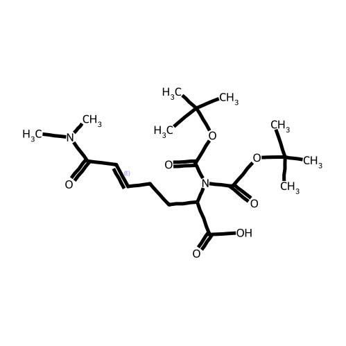 CN(C)C(=O)/C=C/CCC(C(=O)O)N(C(=O)OC(C)(C)C)C(=O)OC(C)(C)C